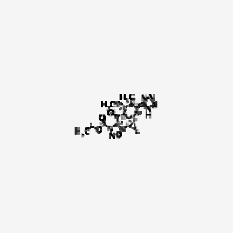 CCOC(=O)c1noc(C2CC2)c1C(=O)c1ccc(-c2nnn[nH]2)c(C)c1CC